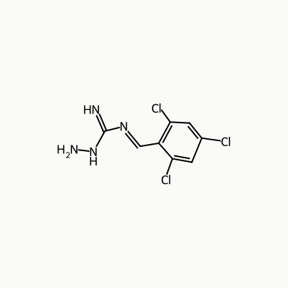 N=C(N=Cc1c(Cl)cc(Cl)cc1Cl)NN